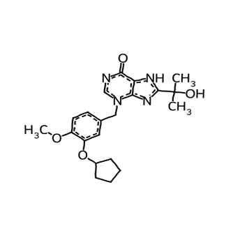 COc1ccc(Cn2cnc(=O)c3[nH]c(C(C)(C)O)nc32)cc1OC1CCCC1